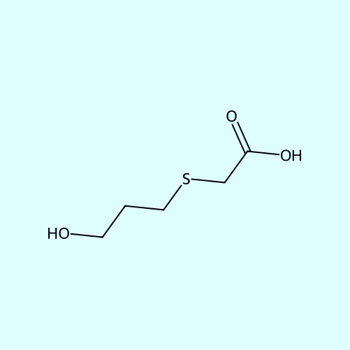 O=C(O)CSCCCO